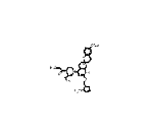 C=CC(=O)N1CCN(C2NC(OCC3CCCN3C)NC3C[C@@]4(CCc5cc(OC)ccc5O4)CCC32)CC1CC#N